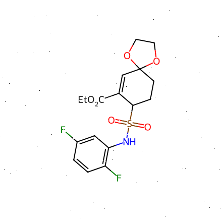 CCOC(=O)C1=CC2(CCC1S(=O)(=O)Nc1cc(F)ccc1F)OCCO2